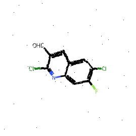 O=Cc1cc2cc(Cl)c(F)cc2nc1Cl